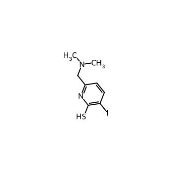 CN(C)Cc1ccc(I)c(S)n1